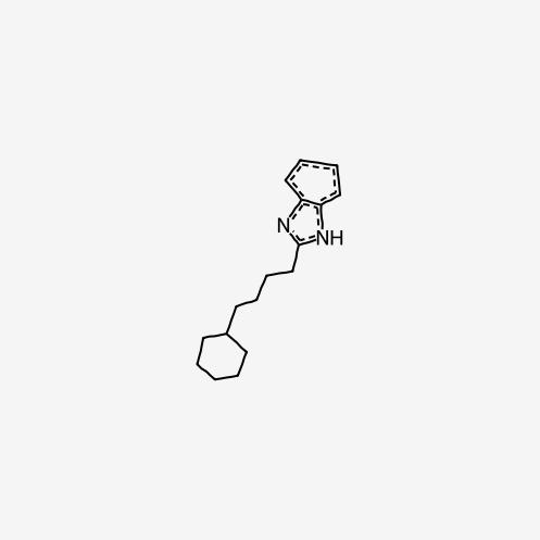 c1ccc2[nH]c(CCCCC3CCCCC3)nc2c1